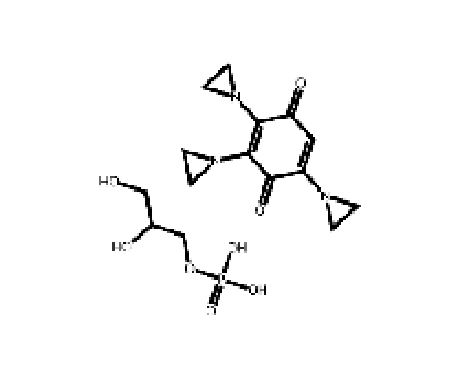 O=C1C=C(N2CC2)C(=O)C(N2CC2)=C1N1CC1.O=P(O)(O)OCC(O)CO